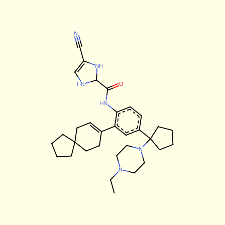 CCN1CCN(C2(c3ccc(NC(=O)C4NC=C(C#N)N4)c(C4=CCC5(CCCC5)CC4)c3)CCCC2)CC1